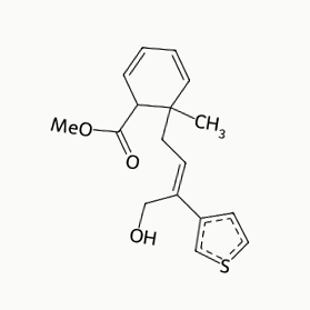 COC(=O)C1C=CC=CC1(C)C/C=C(\CO)c1ccsc1